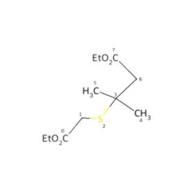 CCOC(=O)CSC(C)(C)CC(=O)OCC